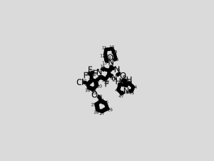 [2H]C([2H])(Oc1nc(N2CC3CCC(C2)O3)c2cnc(-c3cc(OCc4ccccc4)cc(Cl)c3C(F)(F)F)c(F)c2n1)C12CCCN1CCC2